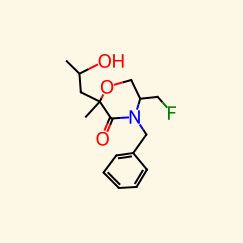 CC(O)CC1(C)OCC(CF)N(Cc2ccccc2)C1=O